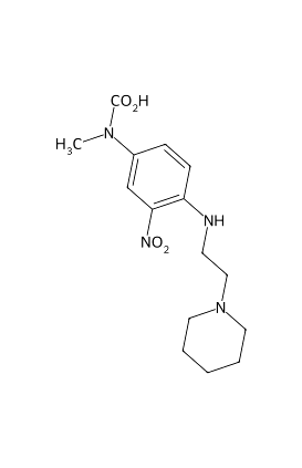 CN(C(=O)O)c1ccc(NCCN2CCCCC2)c([N+](=O)[O-])c1